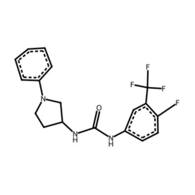 O=C(Nc1ccc(F)c(C(F)(F)F)c1)NC1CCN(c2ccccc2)C1